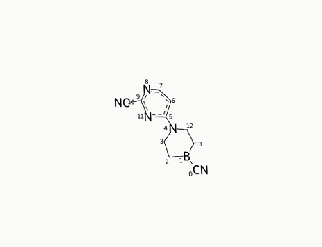 N#CB1CCN(c2ccnc(C#N)n2)CC1